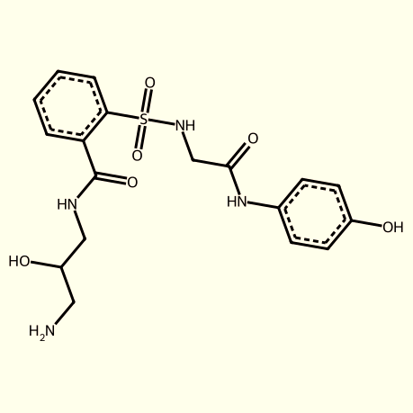 NCC(O)CNC(=O)c1ccccc1S(=O)(=O)NCC(=O)Nc1ccc(O)cc1